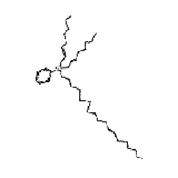 CCCCC/C=C/C[Si](C/C=C/CCCCC)(CCCCCCCCCCCCCCCCCC)c1ccccc1